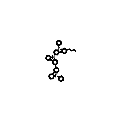 CCCCc1ccc2c3cc(-n4c5ccccc5c5cc(-c6ccc7c(c6)c6ccccc6n7-c6ccccc6)ccc54)ccc3n(-c3ccccc3)c2c1